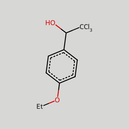 CCOc1ccc(C(O)C(Cl)(Cl)Cl)cc1